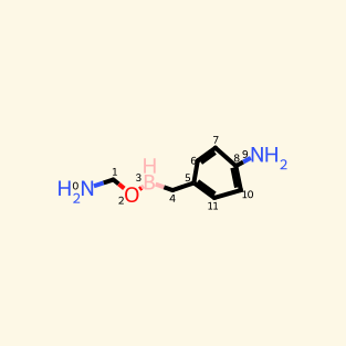 NCOBCc1ccc(N)cc1